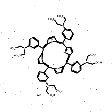 O=C(O)CN(CC(=O)O)c1cccc(-c2c3nc(c(-c4cccc(N(CC(=O)O)CC(=O)O)c4)c4ccc([nH]4)c(-c4cccc(N(CC(=O)O)CC(=O)O)c4)c4nc(c(-c5cccc(N(CC(=O)O)CC(=O)O)c5)c5ccc2[nH]5)C=C4)C=C3)c1.[Mn]